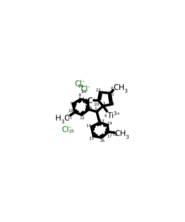 CC1=C[C]([Ti+3])(C(c2cccc(C)c2)c2cccc(C)c2)C(C)=C1.[Cl-].[Cl-].[Cl-]